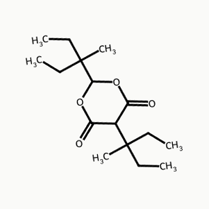 CCC(C)(CC)C1OC(=O)C(C(C)(CC)CC)C(=O)O1